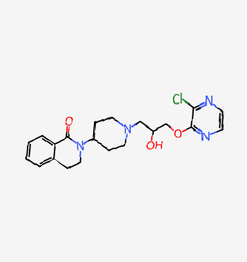 O=C1c2ccccc2CCN1C1CCN(CC(O)COc2nccnc2Cl)CC1